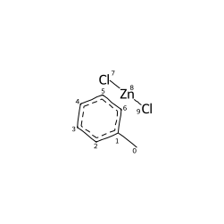 Cc1ccccc1.[Cl][Zn][Cl]